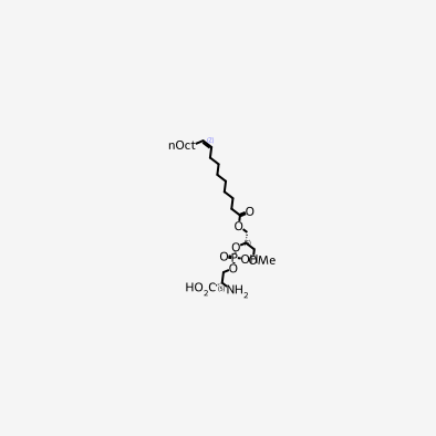 CCCCCCCC/C=C\CCCCCCCC(=O)OC[C@H](COC)OP(=O)(O)OC[C@H](N)C(=O)O